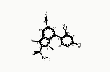 Cc1c(C(N)=O)n(C)c2c(-c3ccc(Cl)cc3Cl)cc(C#N)cc12